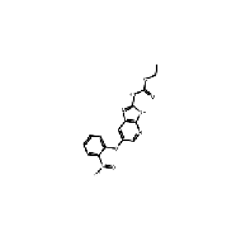 CCOC(=O)Nc1nc2cc(Oc3ccccc3[N+](=O)[O-])cnc2[nH]1